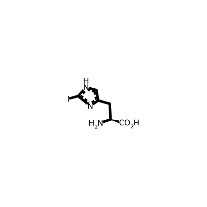 N[C@@H](Cc1c[nH]c(I)n1)C(=O)O